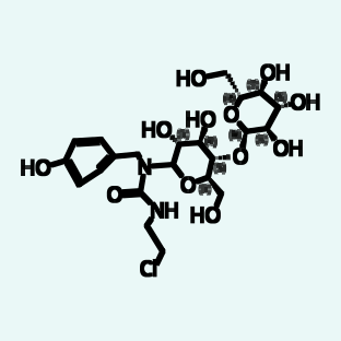 O=C(NCCCl)N(Cc1ccc(O)cc1)C1O[C@H](CO)[C@@H](O[C@H]2O[C@H](CO)[C@@H](O)[C@H](O)[C@H]2O)[C@H](O)[C@H]1O